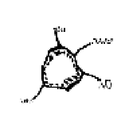 COc1c(N=O)cc(C(C)(C)C)cc1C(C)(C)C